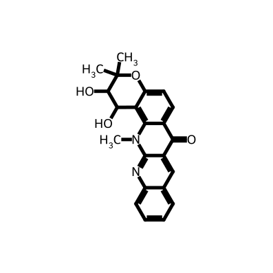 Cn1c2nc3ccccc3cc2c(=O)c2ccc3c(c21)C(O)C(O)C(C)(C)O3